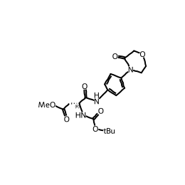 COC(=O)C[C@@H](NC(=O)OC(C)(C)C)C(=O)Nc1ccc(N2CCOCC2=O)cc1